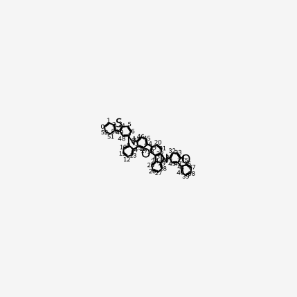 C1=Cc2sc3ccc(-n4c5ccccc5c5c6oc7c(ccc8c7c7ccccc7n8-c7ccc8oc9ccccc9c8c7)c6ccc54)cc3c2CC1